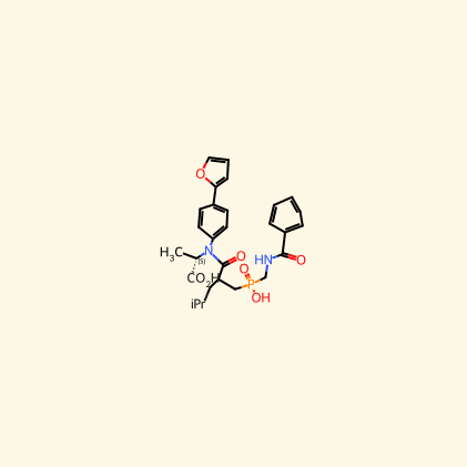 CC(C)CC(CP(=O)(O)CNC(=O)c1ccccc1)C(=O)N(c1ccc(-c2ccco2)cc1)[C@@H](C)C(=O)O